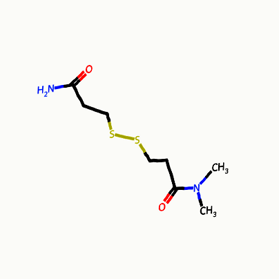 CN(C)C(=O)CCSSCCC(N)=O